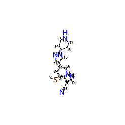 CSc1cc(-c2cnn(C3CCNCC3)c2)cn2ncc(C#N)c12